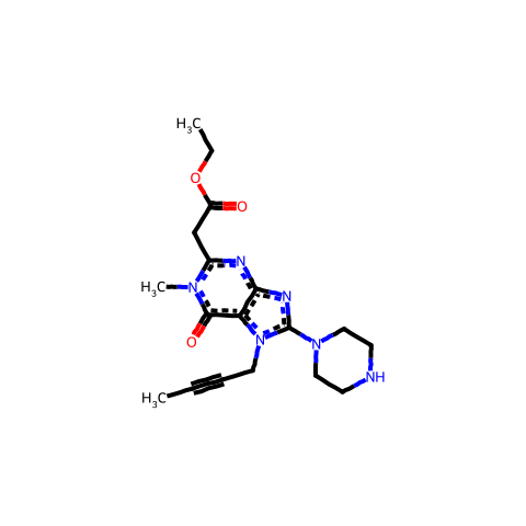 CC#CCn1c(N2CCNCC2)nc2nc(CC(=O)OCC)n(C)c(=O)c21